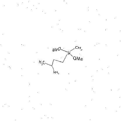 CO[Si](C)(CCC(C)N)OC